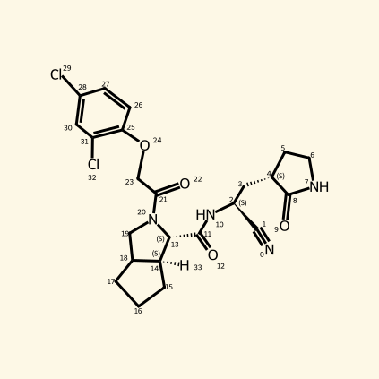 N#C[C@H](C[C@@H]1CCNC1=O)NC(=O)[C@@H]1[C@H]2CCCC2CN1C(=O)COc1ccc(Cl)cc1Cl